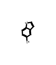 N#Cc1ccc2[se]ccc2c1